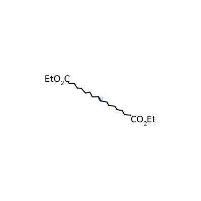 CCOC(=O)CCCCCCC/C=C/CCCCCCCC(=O)OCC